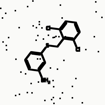 Nc1cccc(SCc2c(Cl)cccc2Cl)c1